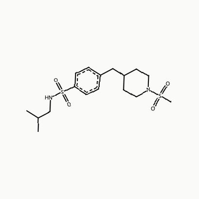 CC(C)CNS(=O)(=O)c1ccc(CC2CCN(S(C)(=O)=O)CC2)cc1